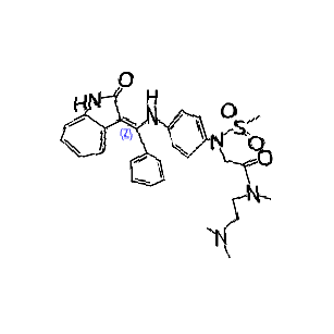 CN(C)CCN(C)C(=O)CN(c1ccc(N/C(=C2\C(=O)Nc3ccccc32)c2ccccc2)cc1)S(C)(=O)=O